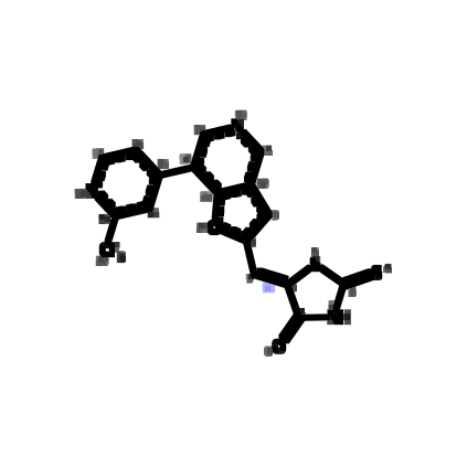 O=C1NC(=S)S/C1=C\c1cc2cncc(-c3ccnc(C(F)(F)F)c3)c2o1